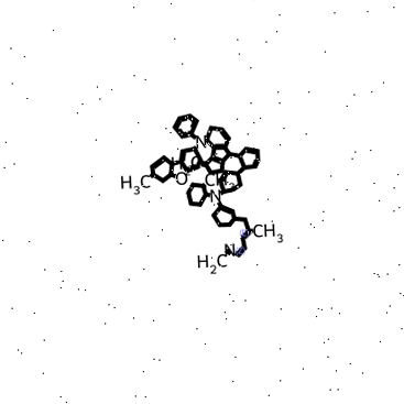 C=N/C=C\C=C(/C)CC1C=C(N(C2C=CC(C3C=CC=CC3C3C4=C(C5=C3CCC5=C)C(N(c3ccccc3)C3C=C5C(=CC3)OC3CC(C)C=CC53)CC=C4)CC2)C2CCCCC2C)CCC1